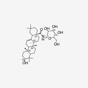 CC1(C)CC[C@]2(C(=O)N[C@H]3OC(CO)[C@@H](O)[C@@H](O)C3O)CC[C@]3(C)C(=CCC4[C@@]5(C)CC[C@H](O)C(C)(C)C5CC[C@]43C)C2C1